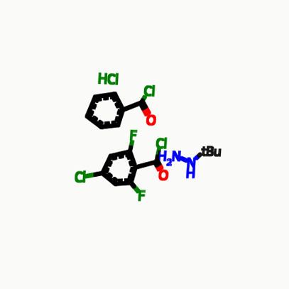 CC(C)(C)NN.Cl.O=C(Cl)c1c(F)cc(Cl)cc1F.O=C(Cl)c1ccccc1